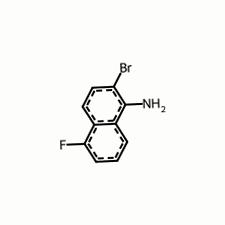 Nc1c(Br)ccc2c(F)cccc12